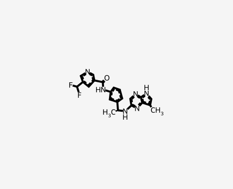 Cc1c[nH]c2ncc(N[C@@H](C)c3cccc(NC(=O)c4cncc(C(F)F)c4)c3)nc12